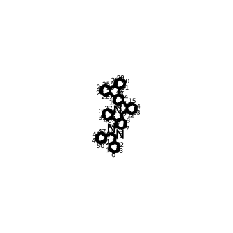 c1ccc(-c2nc3ccc4c(-c5ccccc5-c5ccc6c7ccccc7c7ccccc7c6c5)nc5ccccc5c4c3nc2-c2ccccc2)cc1